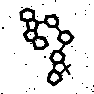 CC1(C)c2ccccc2-c2ccc(-c3cccc(-c4ccnc(-n5c6ccccc6c6ccc7ccccc7c65)n4)c3)cc21